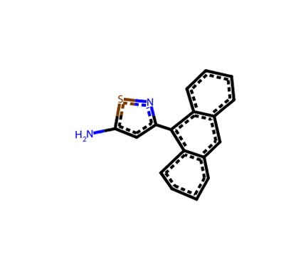 Nc1cc(-c2c3ccccc3cc3ccccc23)ns1